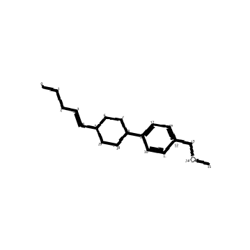 CCC/C=C/C1CCC(c2ccc(COC)cc2)CC1